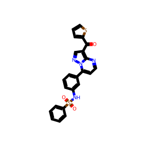 O=C(c1cccs1)c1cnn2c(-c3cccc(NS(=O)(=O)c4ccccc4)c3)ccnc12